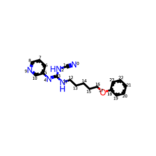 N#CN/C(=N\c1cccnc1)NCCCCCOc1ccccc1